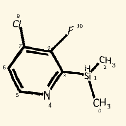 C[SiH](C)c1nccc(Cl)c1F